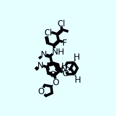 C=CC(=O)N1C[C@H]2C[C@@H](C1)[C@H]2Oc1cc(/C(=N\C)N/C(C=C)=C(F)/C(Cl)=C(\C)Cl)c(N=C)cc1O[C@@H]1CCOC1